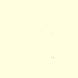 COCC1CCN(C(=O)N2CCN(C(C)S)CC2)C1